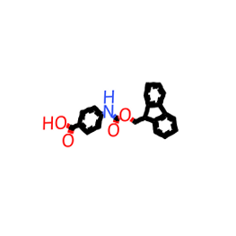 O=C(Nc1ccc(C(=O)O)cc1)OCC1c2ccccc2-c2ccccc21